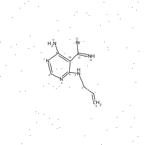 C=CCNc1ncnc(N)c1C(=N)Br